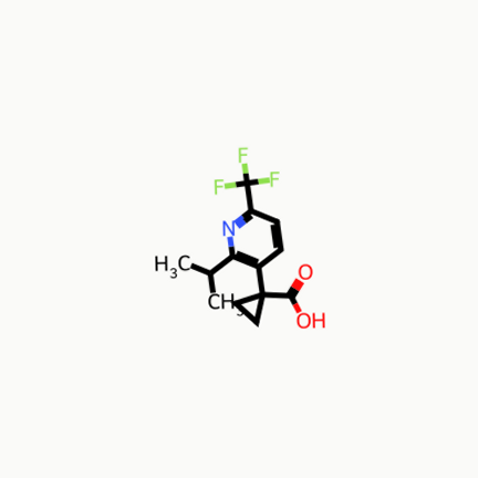 CC(C)c1nc(C(F)(F)F)ccc1C1(C(=O)O)CC1